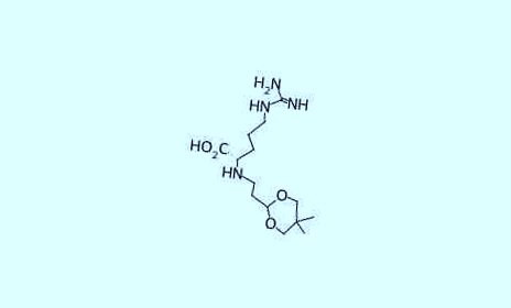 CC1(C)COC(CCN[C@@H](CCCNC(=N)N)C(=O)O)OC1